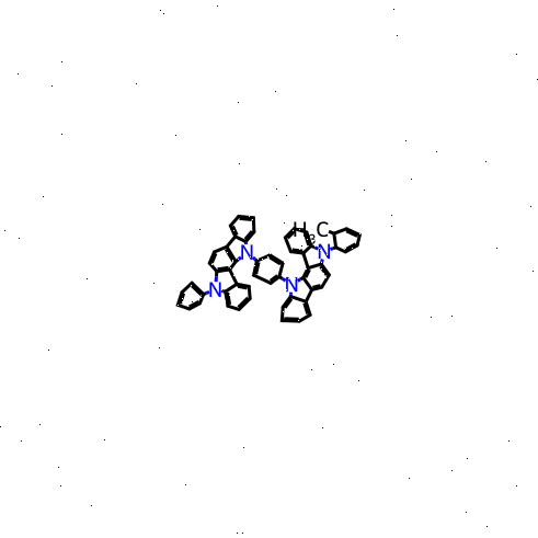 CC1C=CC=CC1n1c2ccccc2c2c3c(ccc21)c1ccccc1n3-c1ccc(-n2c3ccccc3c3ccc4c(c5ccccc5n4-c4ccccc4)c32)cc1